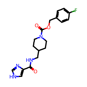 O=C(NCC1CCN(C(=O)OCc2ccc(F)cc2)CC1)c1c[nH]cn1